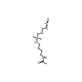 CC(=O)NCCCCO[Si](C)(C)CCCN=C=O